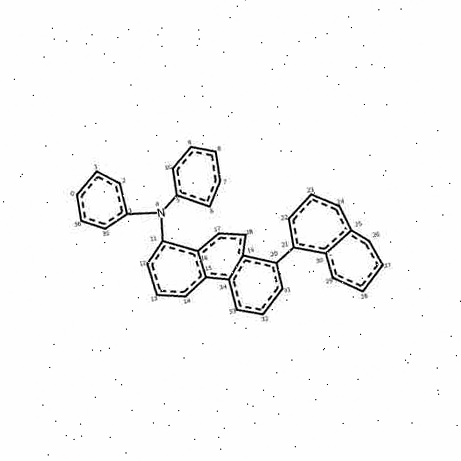 c1ccc(N(c2ccccc2)c2cccc3c2ccc2c(-c4cccc5ccccc45)cccc23)cc1